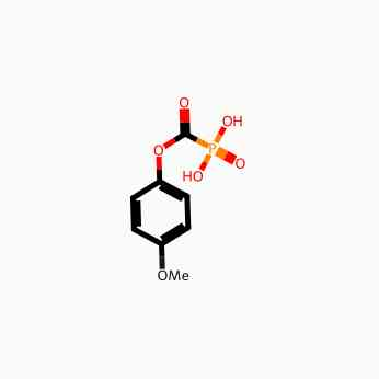 COc1ccc(OC(=O)P(=O)(O)O)cc1